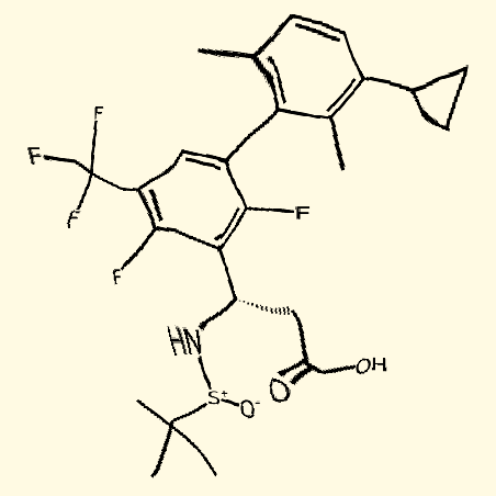 Cc1ccc(C2CC2)c(C)c1-c1cc(C(F)(F)F)c(F)c([C@H](CC(=O)O)N[S+]([O-])C(C)(C)C)c1F